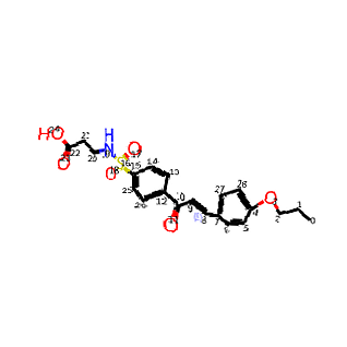 CCCOc1ccc(/C=C/C(=O)c2ccc(S(=O)(=O)NCCC(=O)O)cc2)cc1